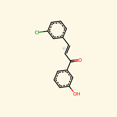 O=C(/C=C/c1cccc(Cl)c1)c1cccc(O)c1